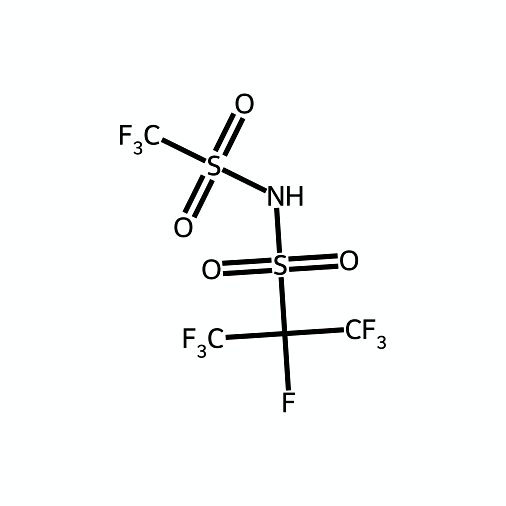 O=S(=O)(NS(=O)(=O)C(F)(C(F)(F)F)C(F)(F)F)C(F)(F)F